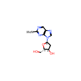 CNc1ncc2ncn([C@H]3C[C@@H](O)[C@H](CO)O3)c2n1